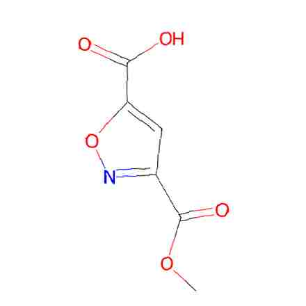 COC(=O)c1cc(C(=O)O)on1